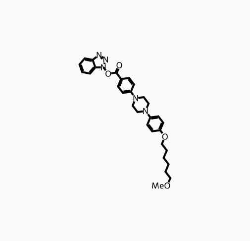 COCCCCCCOc1ccc(N2CCN(c3ccc(C(=O)On4nnc5ccccc54)cc3)CC2)cc1